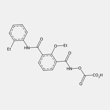 CCOc1c(C(=O)NOC(=O)C(=O)O)cccc1C(=O)Nc1ccccc1CC